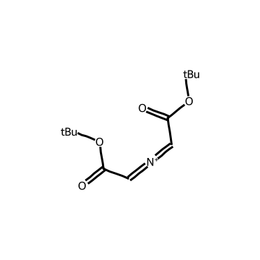 CC(C)(C)OC(=O)C=[N+]=CC(=O)OC(C)(C)C